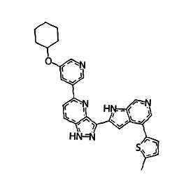 Cc1ccc(-c2cncc3[nH]c(-c4n[nH]c5ccc(-c6cncc(OC7CCCCC7)c6)nc45)cc23)s1